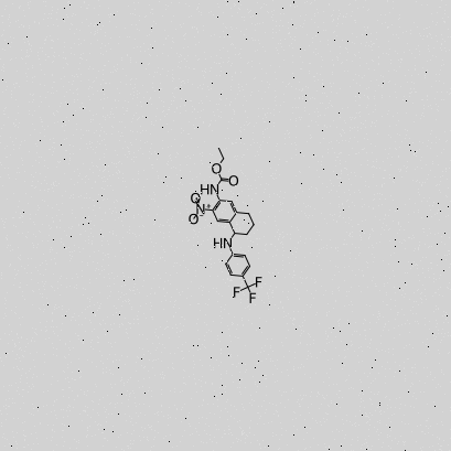 CCOC(=O)Nc1cc2c(cc1[N+](=O)[O-])C(Nc1ccc(C(F)(F)F)cc1)CCC2